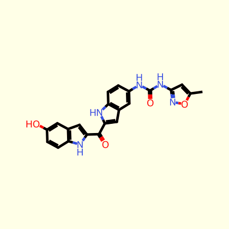 Cc1cc(NC(=O)Nc2ccc3[nH]c(C(=O)c4cc5cc(O)ccc5[nH]4)cc3c2)no1